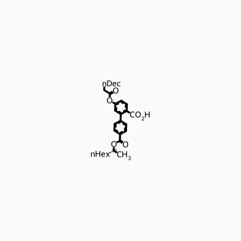 CCCCCCCCCCCC(=O)Oc1ccc(C(=O)O)c(-c2ccc(C(=O)O[C@H](C)CCCCCC)cc2)c1